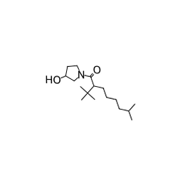 CC(C)CCCCC(C(=O)N1CCC(O)C1)C(C)(C)C